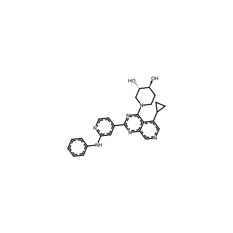 O[C@H]1CCN(c2nc(-c3ccnc(Nc4ccccc4)c3)nc3cncc(C4CC4)c23)C[C@@H]1O